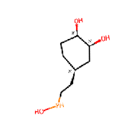 OPCC[C@H]1CC[C@@H](O)[C@@H](O)C1